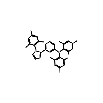 Cc1cc(C)c(B(c2cccc(-c3nccn3-c3c(C)cc(C)cc3C)c2)c2c(C)cc(C)cc2C)c(C)c1